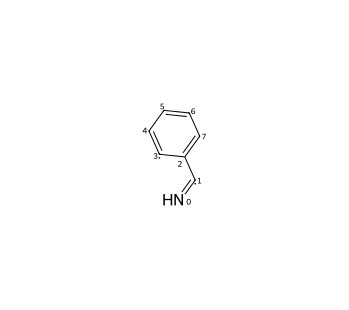 N=[C]c1[c]cccc1